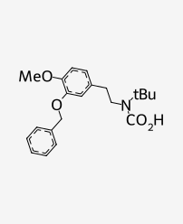 COc1ccc(CCN(C(=O)O)C(C)(C)C)cc1OCc1ccccc1